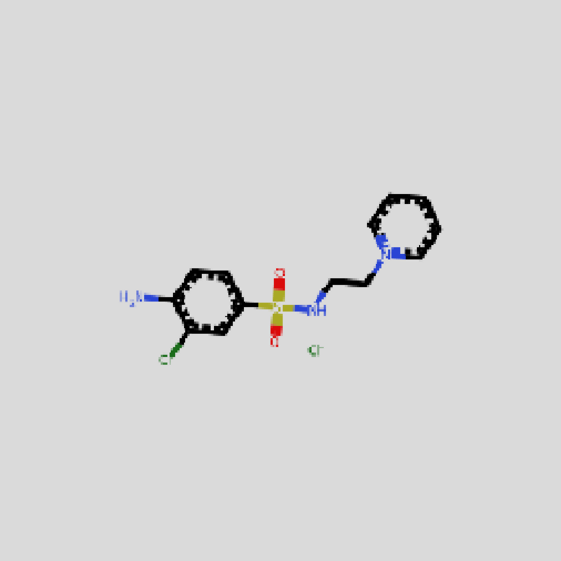 Nc1ccc(S(=O)(=O)NCC[n+]2ccccc2)cc1Cl.[Cl-]